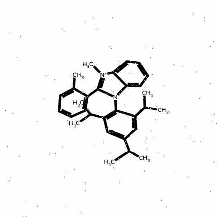 Cc1ccccc1-c1n(-c2c(C(C)C)cc(C(C)C)cc2C(C)C)c2ccccc2[n+]1C